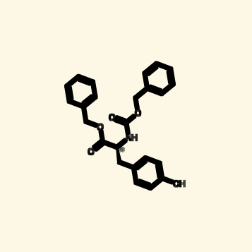 O=C(N[C@@H](Cc1ccc(O)cc1)C(=O)OCc1ccccc1)OCc1ccccc1